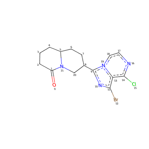 O=C1CCCC2CCC(c3nc(Br)c4c(Cl)nccn34)CN12